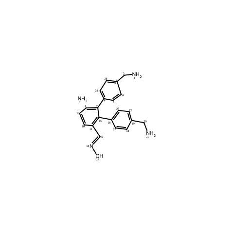 N.NCc1ccc(-c2cccc(C=NO)c2-c2ccc(CN)cc2)cc1